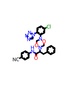 N#Cc1ccc(NC(=O)C(Cc2ccccc2)N2CON(c3cc(Cl)ccc3-n3cnnn3)CO2)cc1